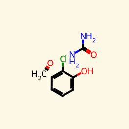 C=O.NC(N)=O.Oc1ccccc1Cl